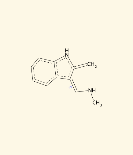 C=c1[nH]c2ccccc2/c1=C/NC